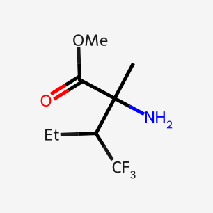 CCC(C(F)(F)F)C(C)(N)C(=O)OC